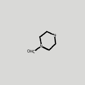 O=CN1CC[N]CC1